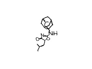 CC(C)CC1OC(NC23CC4CC(CC2C4)C3)=NC1=O